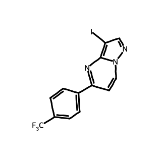 FC(F)(F)c1ccc(-c2ccn3ncc(I)c3n2)cc1